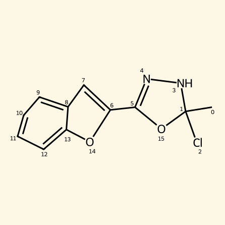 CC1(Cl)NN=C(c2cc3ccccc3o2)O1